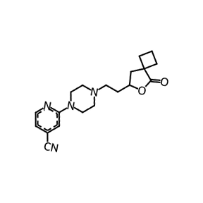 N#Cc1ccnc(N2CCN(CCC3CC4(CCC4)C(=O)O3)CC2)c1